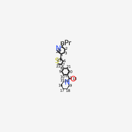 CCCc1ccc(-c2cc(-c3ccc(C(=O)N4CCCCC4)cc3)cs2)cn1